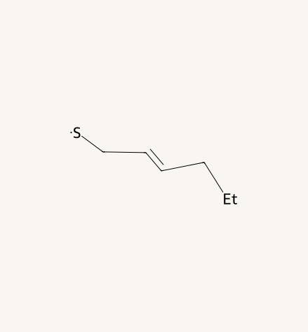 CCC/C=C/C[S]